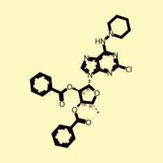 C[C@H]1O[C@@H](n2cnc3c(NN4CCCCC4)nc(Cl)nc32)[C@H](OC(=O)c2ccccc2)[C@@H]1OC(=O)c1ccccc1